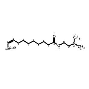 CCCCCCCCC/C=C\CCCCCCCC(=O)OCCN(C)C